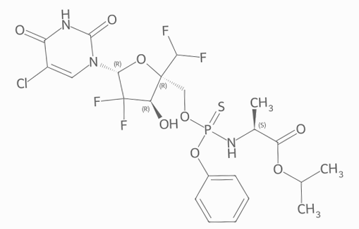 CC(C)OC(=O)[C@H](C)NP(=S)(OC[C@@]1(C(F)F)O[C@@H](n2cc(Cl)c(=O)[nH]c2=O)C(F)(F)[C@@H]1O)Oc1ccccc1